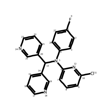 Fc1ccc(N(c2cccc(Cl)n2)C(c2cccnc2)c2cccnc2)cc1